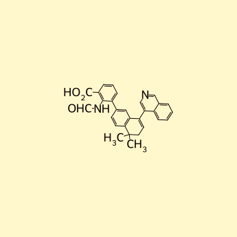 CC1(C)CC=C(c2cncc3ccccc23)c2cc(-c3cccc(C(=O)O)c3NC=O)ccc21